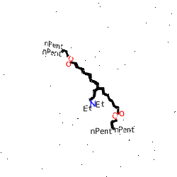 CCCCCC(CCCCC)CCOC(=O)CCCCCCCC(CCCCCCCC(=O)OCCC(CCCCC)CCCCC)CCCN(CC)CC